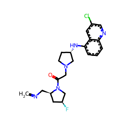 C=NC[C@@H]1C[C@H](F)CN1C(=O)CN1CC[C@H](Nc2cccc3ncc(Cl)cc23)C1